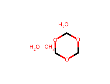 C1OCOCO1.O.O.O